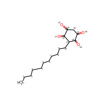 CCCCCCCCCCCC1C(=O)C(=O)CC(=O)C1=O